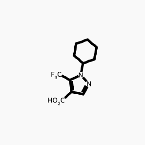 O=C(O)c1cnn(C2CCCCC2)c1C(F)(F)F